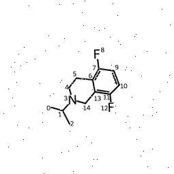 CC(C)N1CCc2c(F)ccc(F)c2C1